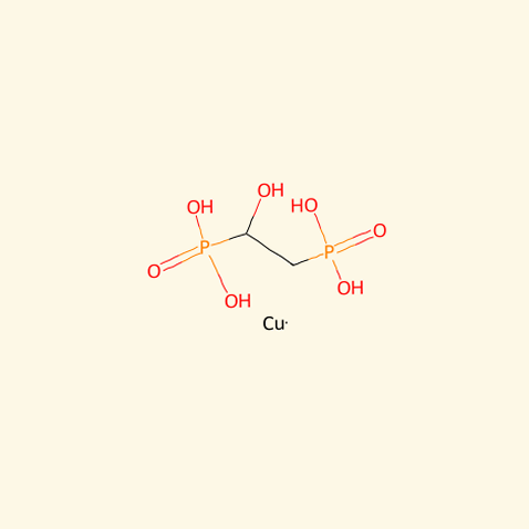 O=P(O)(O)CC(O)P(=O)(O)O.[Cu]